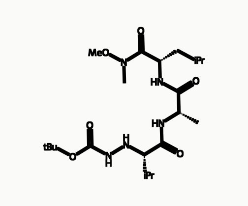 CON(C)C(=O)[C@H](CC(C)C)NC(=O)[C@H](C)NC(=O)[C@@H](NNC(=O)OC(C)(C)C)C(C)C